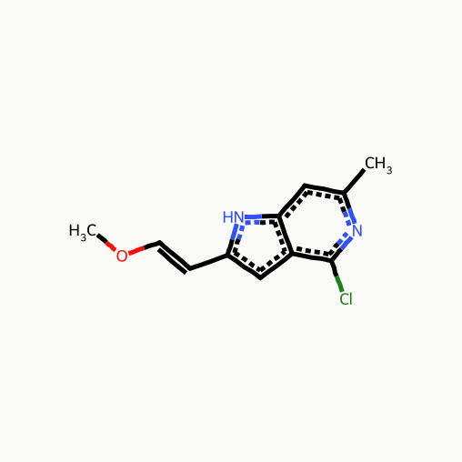 COC=Cc1cc2c(Cl)nc(C)cc2[nH]1